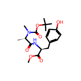 COC(=O)[C@H](Cc1ccc(O)cc1)NC(=O)[C@H](C)N(C)C(=O)OC(C)(C)C